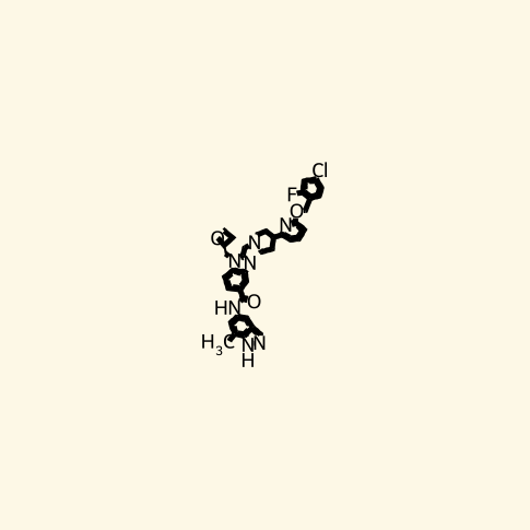 Cc1cc(NC(=O)c2ccc3c(c2)nc(CN2CCC(c4cccc(OCc5ccc(Cl)cc5F)n4)CC2)n3C[C@@H]2CCO2)cc2cn[nH]c12